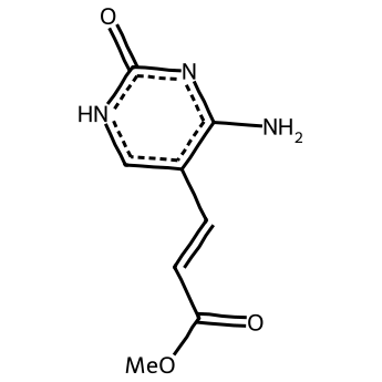 COC(=O)/C=C/c1c[nH]c(=O)nc1N